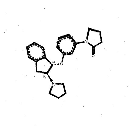 O=C1CCCN1c1cccc(O[C@H]2c3ccccc3C[C@@H]2N2CCCC2)c1